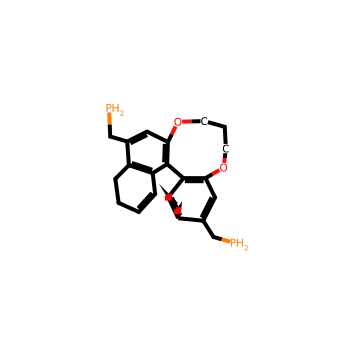 PCc1cc2c(c3c1CCC=C3)-c1c(cc(CP)c3c1CCCC3)OCCCO2